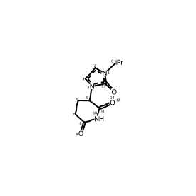 CC(C)n1ccn(C2CCC(=O)NC2=O)c1=O